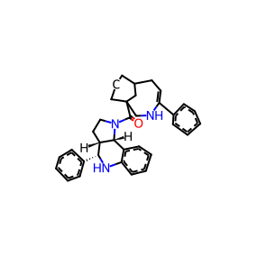 O=C(N1CC[C@H]2[C@@H](c3ccccc3)Nc3ccccc3[C@H]21)C12CCCC(CC=C(c3ccccc3)NC1)C2